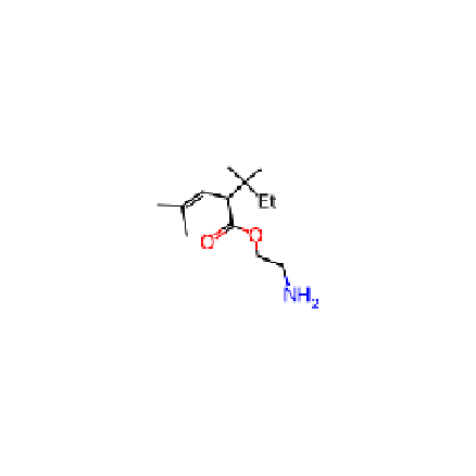 CCC(C)(C)C(C=C(C)C)C(=O)OCCN